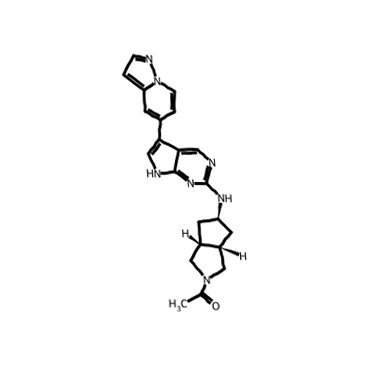 CC(=O)N1C[C@H]2C[C@H](Nc3ncc4c(-c5ccn6nccc6c5)c[nH]c4n3)C[C@H]2C1